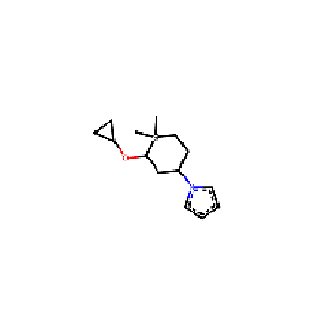 C[Si]1(C)CCC(n2cccc2)CC1OC1CC1